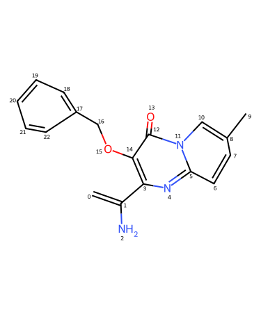 C=C(N)c1nc2ccc(C)cn2c(=O)c1OCc1ccccc1